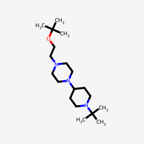 CC(C)(C)OCCN1CCN(C2CCN(C(C)(C)C)CC2)CC1